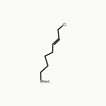 CCCCCCCCCC=C[CH]Cl